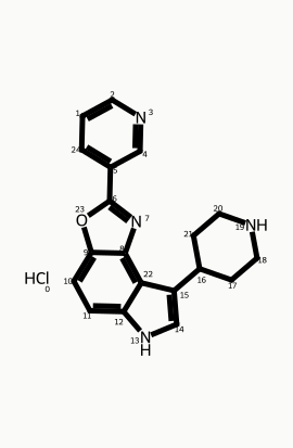 Cl.c1cncc(-c2nc3c(ccc4[nH]cc(C5CCNCC5)c43)o2)c1